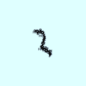 O=C1CC[C@H](N2Cc3cc(C[C@@H](O)CN4CC5(C4)CN(c4ccc(-c6cnc7[nH]cc(C(=O)c8c(F)ccc(NS(=O)(=O)N9CC[C@@H](F)C9)c8F)c7c6)cc4)C5)ccc3C2=O)C(=O)N1